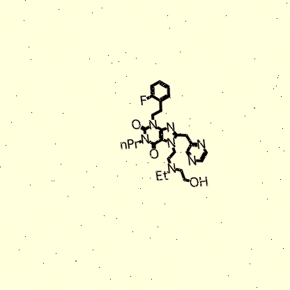 CCCn1c(=O)c2c(nc(Cc3cnccn3)n2CCN(CC)CCO)n(CCc2ccccc2F)c1=O